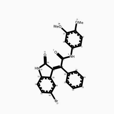 COc1ccc(NC(=O)C(=C2C(=O)Nc3ccc(Br)cc32)c2ccccc2)cc1OC